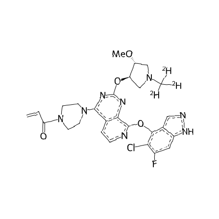 [2H]C([2H])([2H])N1C[C@@H](OC)[C@H](Oc2nc(N3CCN(C(=O)C=C)CC3)c3ccnc(Oc4c(Cl)c(F)cc5[nH]ncc45)c3n2)C1